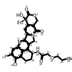 CC[C@@]1(O)C(=O)OCc2c1cc1n(c2=O)Cc2c-1nc1cc(F)c(Cl)c3c1c2[C@@H](NC(=O)COCCC(C)(C)C)CC3